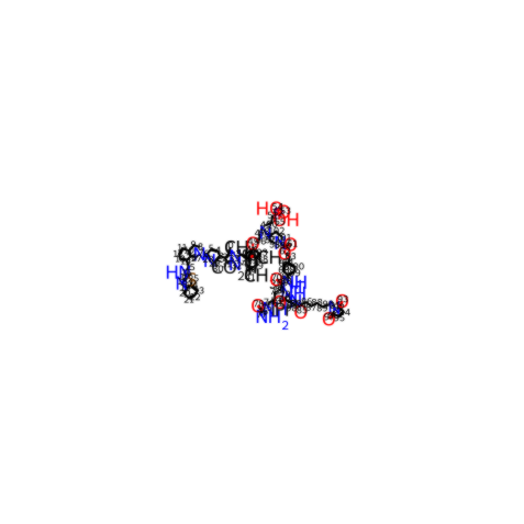 Cc1c(-c2ccc(N3CCc4cccc(CNc5nc6ccccc6s5)c4C3)nc2C(=O)O)cnn1CC12CC3(C)CC(C)(C1)CC(OCCN(CCCP(=O)(O)O)C1CCN(C(=O)OCc4ccc(NC(=O)[C@H](CCCNC(N)=O)NC(=O)[C@@H](NC(=O)CCCCCN5C(=O)C=CC5=O)C(C)C)cc4)CC1)(C3)C2